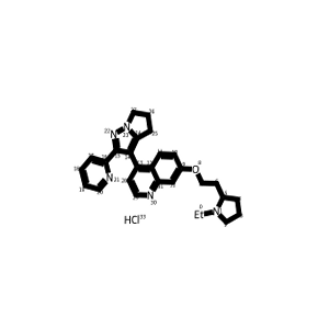 CCN1CCCC1CCOc1ccc2c(-c3c(-c4ccccn4)nn4c3CCC4)ccnc2c1.Cl